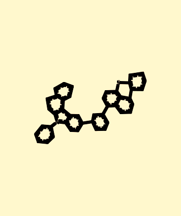 c1ccc(-n2c3ccc(-c4cccc(-c5ccc6c7c(cccc57)-c5ccccc5S6)c4)cc3c3c4ccccc4ccc32)cc1